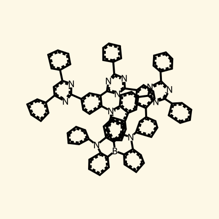 c1ccc(-c2cc(-c3ccccc3)nc(-c3ccc(-n4c5ccccc5c5cc(-c6nc(-c7ccccc7)nc(-c7ccccc7)n6)ccc54)c(-c4nc(-c5ccccc5)nc(-c5cccc(-c6cccc(N7c8ccccc8B8c9ccccc9N(c9ccccc9)c9cccc7c98)c6)c5)n4)c3)n2)cc1